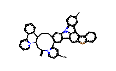 C=C1CC2C(CCc3cc4c(cc3-c3cc(C(C)(C)C)cc[n+]31)c1cc3sc5ccccc5c3c3c5cc(C)ccc5n4c13)c1ccccc1-c1cccc[n+]12